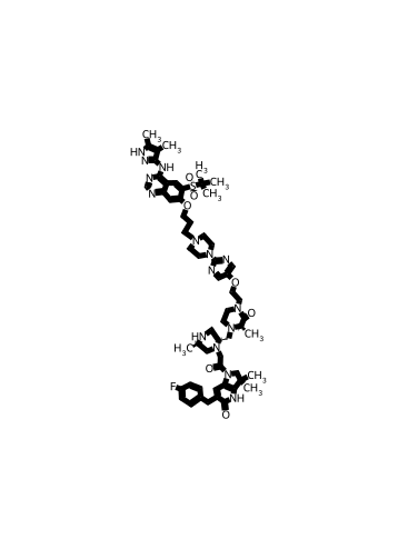 Cc1[nH]nc(Nc2ncnc3cc(OCCCN4CCN(c5ncc(OCCN6CCN(C[C@H]7CN[C@H](C)CN7CC(=O)N7CC(C)(C)c8[nH]c(=O)c(Cc9ccc(F)cc9)cc87)[C@H](C)C6=O)cn5)CC4)c(S(=O)(=O)C(C)(C)C)cc23)c1C